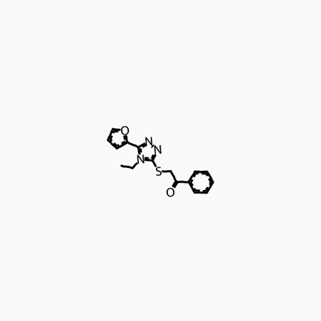 CCn1c(SCC(=O)c2ccccc2)nnc1-c1ccco1